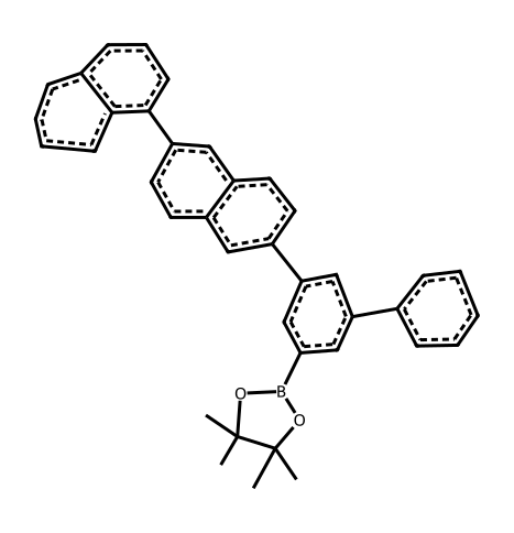 CC1(C)OB(c2cc(-c3ccccc3)cc(-c3ccc4cc(-c5cccc6ccccc56)ccc4c3)c2)OC1(C)C